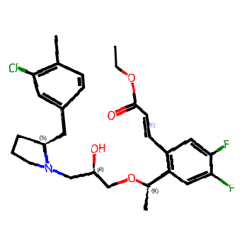 CCOC(=O)/C=C/c1cc(F)c(F)cc1[C@@H](C)OC[C@H](O)CN1CCC[C@H]1Cc1ccc(C)c(Cl)c1